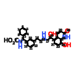 O=C(O)NC(c1ccccc1)c1cccc(CCNCC(O)c2ccc(O)c3[nH]c(=O)ccc23)c1